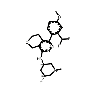 COc1ccc(-c2nnc(N[C@@H]3C[C@@H](F)CN(C)C3)c3c2CCOC3)c(C(F)F)c1